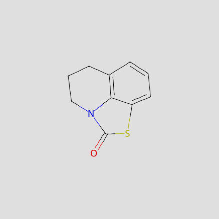 O=c1sc2cccc3c2n1CCC3